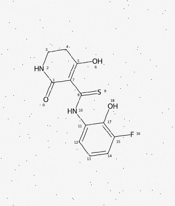 O=C1NCCC(O)=C1C(=S)Nc1cccc(F)c1O